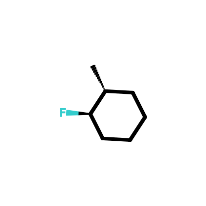 C[C@@H]1CCCC[C@H]1F